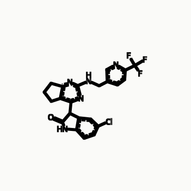 O=C1Nc2ccc(Cl)cc2C1c1nc(NCc2ccc(C(F)(F)F)nc2)nc2c1CCC2